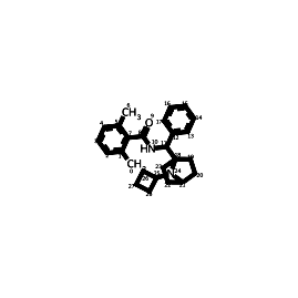 Cc1cccc(C)c1C(=O)NC(c1ccccc1)C12CCC(CC1)N2C1CCC1